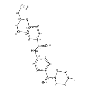 CN1CCN(C(=N)c2ccc(NC(=O)c3ccc4c(c3)OCC(CC(=O)O)C4)cc2)CC1